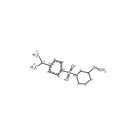 COC1CCCN(S(=O)(=O)c2ccc(C(C)C)cc2)C1